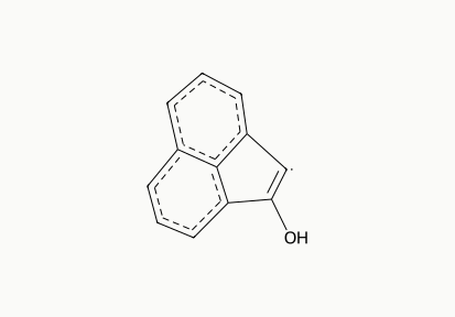 OC1=[C]c2cccc3cccc1c23